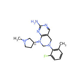 Cc1cccc(F)c1N1Cc2cnc(N)nc2N([C@H]2CCN(C)C2)C1